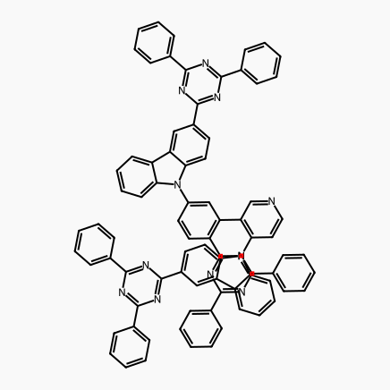 c1ccc(-c2nc(-c3ccccc3)nc(-c3ccc4c(c3)c3ccccc3n4-c3ccc(-c4nc(-c5ccccc5)nc(-c5ccccc5)n4)c(-c4cnccc4-n4c5ccccc5c5cc(-c6nc(-c7ccccc7)nc(-c7ccccc7)n6)ccc54)c3)n2)cc1